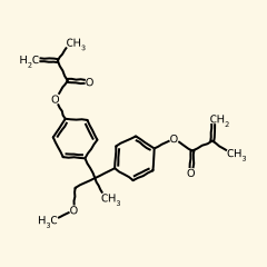 C=C(C)C(=O)Oc1ccc(C(C)(COC)c2ccc(OC(=O)C(=C)C)cc2)cc1